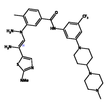 CNc1ncc(/C(N)=C/N(N)c2cc(C(=O)Nc3cc(N4CCC(N5CCN(C)CC5)CC4)cc(C(F)(F)F)c3)ccc2C)s1